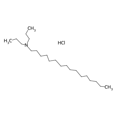 CCCCCCCCCCCCCCCCN(CCC)CCC.Cl